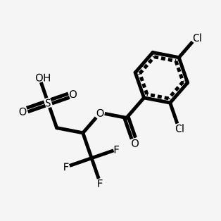 O=C(OC(CS(=O)(=O)O)C(F)(F)F)c1ccc(Cl)cc1Cl